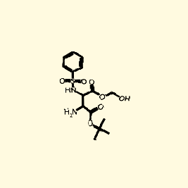 CC(C)(C)OC(=O)C(N)C(NS(=O)(=O)c1ccccc1)C(=O)OCO